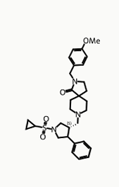 COc1ccc(CN2CCC3(CCN(C[C@H]4CN(S(=O)(=O)C5CC5)CC4c4ccccc4)CC3)C2=O)cc1